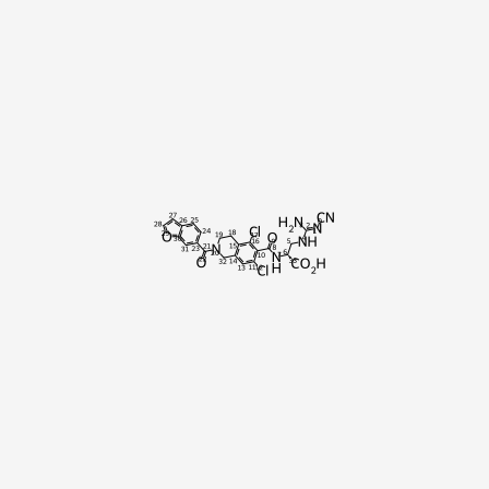 N#C/N=C(\N)NC[C@H](NC(=O)c1c(Cl)cc2c(c1Cl)CCN(C(=O)c1ccc3ccoc3c1)C2)C(=O)O